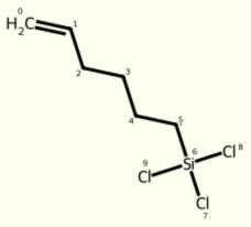 C=CCCC[CH][Si](Cl)(Cl)Cl